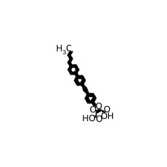 CCCCCC1CCC(c2ccc(C#Cc3ccc(C4O[C@@H](C(=O)O)[C@H](C(=O)O)O4)cc3)cc2)CC1